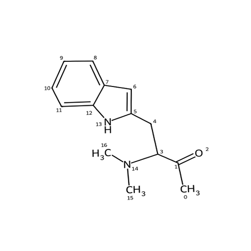 CC(=O)C(Cc1cc2ccccc2[nH]1)N(C)C